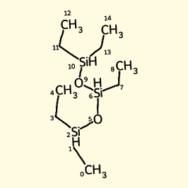 CC[SiH](CC)O[SiH](CC)O[SiH](CC)CC